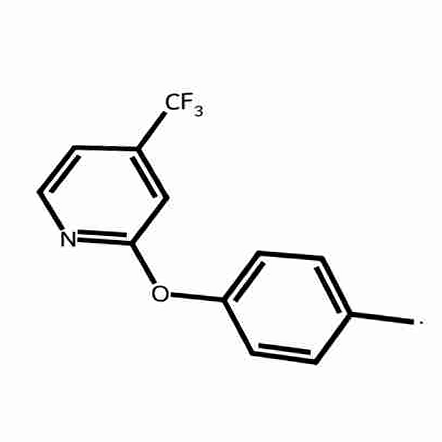 [CH2]c1ccc(Oc2cc(C(F)(F)F)ccn2)cc1